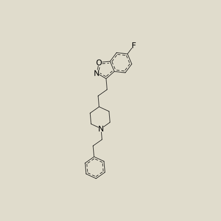 Fc1ccc2c(CCC3CCN(CCc4ccccc4)CC3)noc2c1